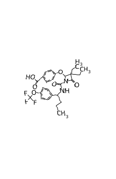 CCCC(NC(=O)N1C(=O)C(CC)(CC)C1Oc1ccc(C(=O)O)cc1)c1ccc(OC(F)(F)F)cc1